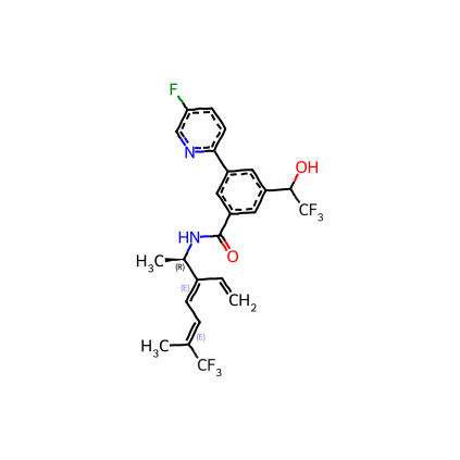 C=C/C(=C\C=C(/C)C(F)(F)F)[C@@H](C)NC(=O)c1cc(-c2ccc(F)cn2)cc(C(O)C(F)(F)F)c1